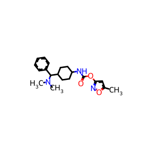 Cc1cc(OC(=O)NC2CCC(C(c3ccccc3)N(C)C)CC2)no1